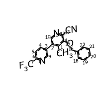 Cc1c(-c2ccc(C(F)(F)F)nc2)cnc(C#N)c1OCc1ccccc1